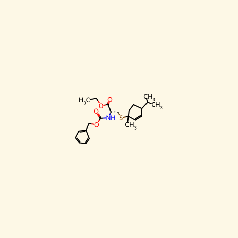 CCOC(=O)[C@H](CSC1(C)C=CC(C(C)C)CC1)NC(=O)OCc1ccccc1